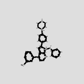 N#Cc1cccc(-c2ccnc3c2cc(-c2ccc(N4CCOCC4)cc2)n3Sc2ccccc2)c1